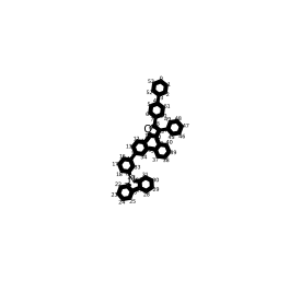 c1ccc(-c2ccc(-c3oc4c5ccc(-c6cccc(-n7c8ccccc8c8ccccc87)c6)cc5c5ccccc5c4c3-c3ccccc3)cc2)cc1